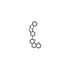 C1=C2C=c3cc(-c4ccc5ccc6cccnc6c5n4)ccc3=C2c2ccccc21